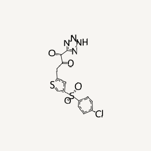 O=C(Cc1cc(S(=O)(=O)c2ccc(Cl)cc2)cs1)C(=O)c1nn[nH]n1